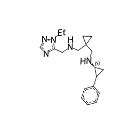 CCn1ncnc1CNCC1(CN[C@H]2CC2c2ccccc2)CC1